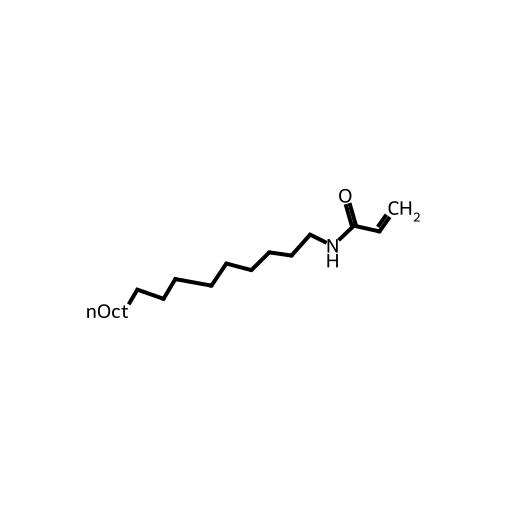 C=CC(=O)NCCCCCCCCCCCCCCCCC